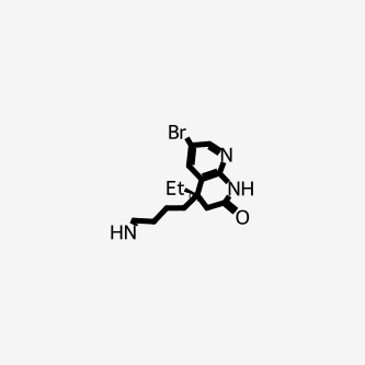 CC[C@]1(CCCC=N)CC(=O)Nc2ncc(Br)cc21